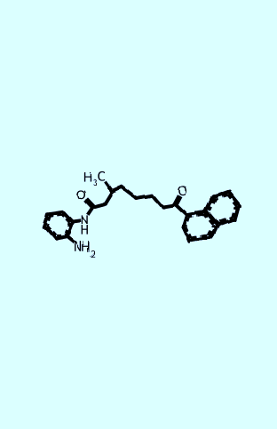 CC(CCCCC(=O)c1cccc2ccccc12)CC(=O)Nc1ccccc1N